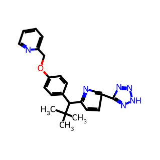 CC(C)(C)C(c1ccc(OCc2ccccn2)cc1)c1ccc(-c2nn[nH]n2)cn1